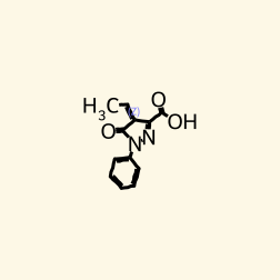 C/C=C1\C(=O)N(c2ccccc2)N=C1C(=O)O